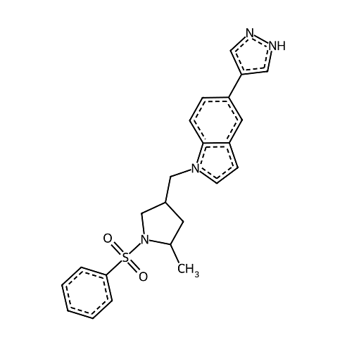 CC1CC(Cn2ccc3cc(-c4cn[nH]c4)ccc32)CN1S(=O)(=O)c1ccccc1